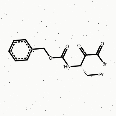 CC(C)C[C@H](NC(=O)OCc1ccccc1)C(=O)C(=O)Br